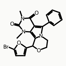 Cn1c(=O)c2c(-c3ccccc3)n3c(c2n(C)c1=O)C(c1ccc(Br)o1)OCC3